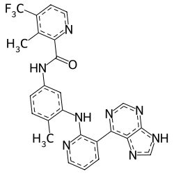 Cc1ccc(NC(=O)c2nccc(C(F)(F)F)c2C)cc1Nc1ncccc1-c1ncnc2[nH]cnc12